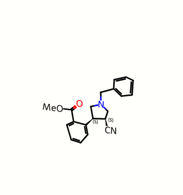 COC(=O)c1ccccc1[C@H]1CN(Cc2ccccc2)C[C@H]1C#N